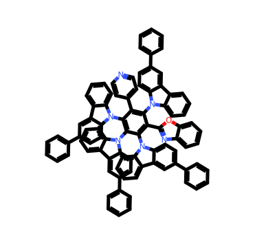 c1ccc(-c2ccc3c(c2)c2ccccc2n3-c2c(-c3ccncc3)c(-n3c4ccccc4c4cc(-c5ccccc5)ccc43)c(-n3c4ccccc4c4cc(-c5ccccc5)ccc43)c(-n3c4ccccc4c4cc(-c5ccccc5)ccc43)c2-c2nc3ccccc3o2)cc1